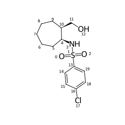 O=S(=O)(N[C@H]1CCCCC[C@H]1CO)c1ccc(Cl)cc1